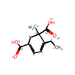 CCC1=CC=C(C(=O)O)CC1(C)C(=O)O